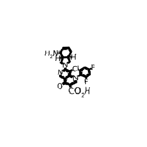 N[C@@H]1C=CC[C@@H]2CN(c3ncc4c(=O)c(C(=O)O)cn(-c5ccc(F)cc5F)c4c3Cl)C[C@@H]21